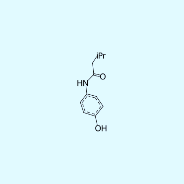 CC(C)CC(=O)Nc1ccc(O)cc1